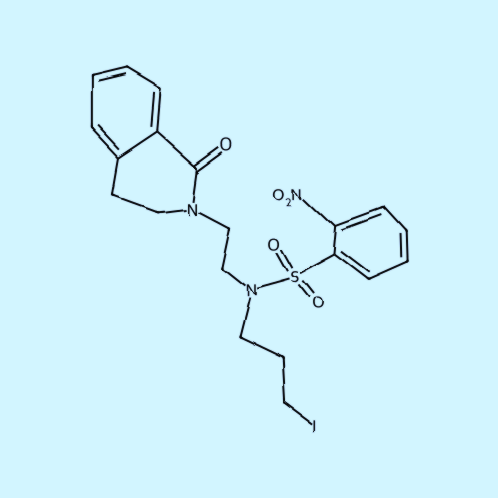 O=C1c2ccccc2CCN1CCN(CCCI)S(=O)(=O)c1ccccc1[N+](=O)[O-]